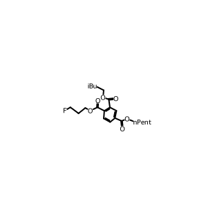 CCCCCOC(=O)c1ccc(C(=O)OCCCF)c(C(=O)OCC(C)CC)c1